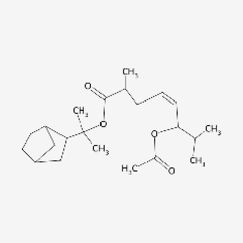 CC(=O)OC(/C=C\CC(C)C(=O)OC(C)(C)C1CC2CCC1C2)C(C)C